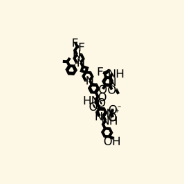 CCOc1nc2[nH]cc(F)c2cc1Oc1cc(N2CCC3(CC2)CC(N2CCN(CC(F)F)C[C@H]2c2ccccc2C(C)C)C3)ccc1C(=O)NS(=O)(=O)c1cnc(NCC2CCC(C)(O)CC2)c([N+](=O)[O-])c1